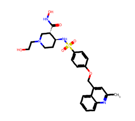 Cc1cc(COc2ccc(S(=O)(=O)N[C@H]3CCN(CCO)C[C@@H]3C(=O)NO)cc2)c2ccccc2n1